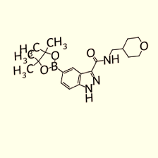 CC1(C)OB(c2ccc3[nH]nc(C(=O)NCC4CCOCC4)c3c2)OC1(C)C